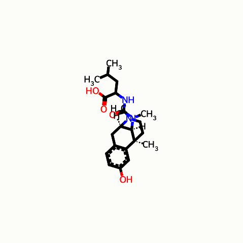 CC(C)CC(NC(=O)N(C)[C@@H]1[C@H]2Cc3ccc(O)cc3[C@]1(C)CCN2C)C(=O)O